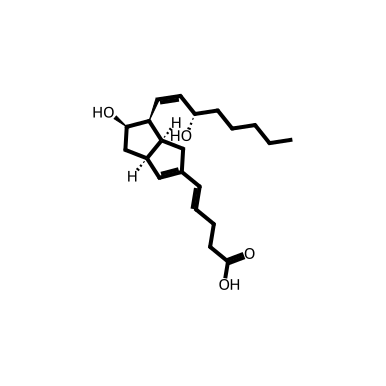 CCCCC[C@H](O)/C=C\[C@H]1[C@H]2CC(C=CCCC(=O)O)=C[C@H]2C[C@H]1O